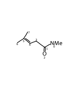 CNC(=O)CC=C(C)C